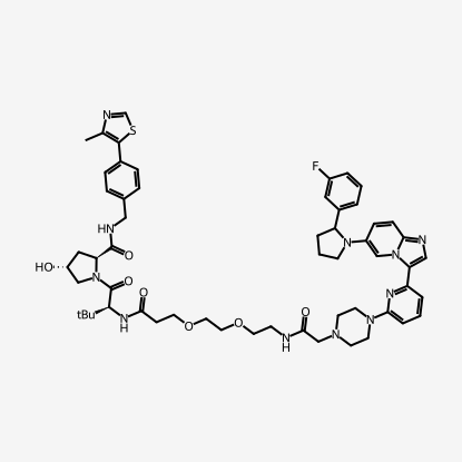 Cc1ncsc1-c1ccc(CNC(=O)[C@@H]2C[C@@H](O)CN2C(=O)[C@@H](NC(=O)CCOCCOCCNC(=O)CN2CCN(c3cccc(-c4cnc5ccc(N6CCCC6c6cccc(F)c6)cn45)n3)CC2)C(C)(C)C)cc1